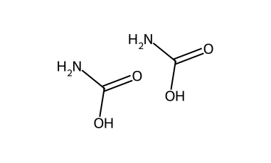 NC(=O)O.NC(=O)O